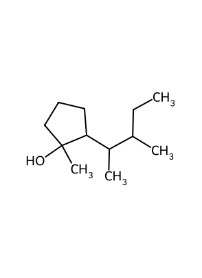 CCC(C)C(C)C1CCCC1(C)O